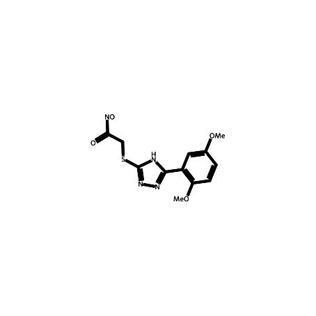 COc1ccc(OC)c(-c2nnc(SCC(=O)N=O)[nH]2)c1